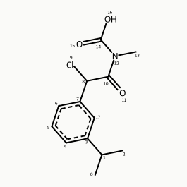 CC(C)c1cccc(C(Cl)C(=O)N(C)C(=O)O)c1